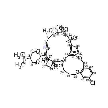 C[C@@H]1[C@@H](C)C/C=C/[C@H]([C@H]2OC[C@H](N(C)C)CO2)[C@@H]2CC[C@H]2CN2CCCCc3cc(Cl)ccc3COc3ccc(cc32)C(=O)NS1(=O)=O